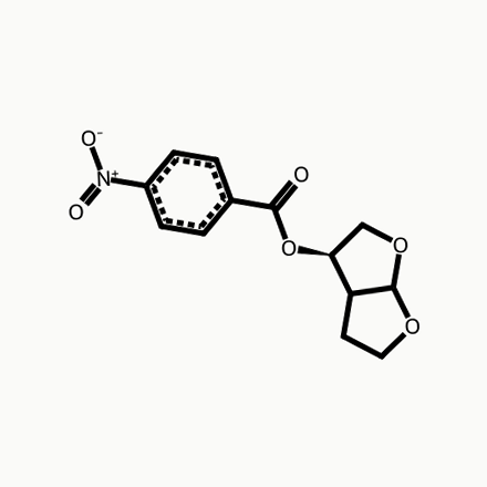 O=C(O[C@H]1COC2OCCC21)c1ccc([N+](=O)[O-])cc1